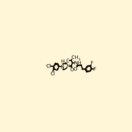 CC(C)C(NC(=O)CCc1ccc(F)c(F)c1)C(=O)N1CCN(c2ccc(Cl)c(Cl)c2)CC1